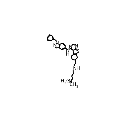 CN(C)CCCCNCCC1CCc2c(sc3ncnc(Nc4ccc5c(cnn5Cc5ccccc5)c4)c23)C1